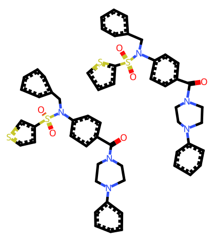 O=C(c1ccc(N(Cc2ccccc2)S(=O)(=O)c2cccs2)cc1)N1CCN(c2ccccc2)CC1.O=C(c1ccc(N(Cc2ccccc2)S(=O)(=O)c2ccsc2)cc1)N1CCN(c2ccccc2)CC1